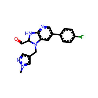 Cn1cc(CN2c3cc(-c4ccc(F)cc4)cnc3NC2C=O)cn1